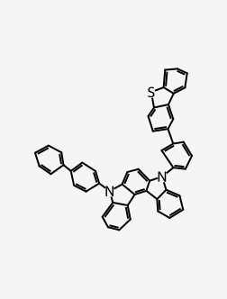 c1ccc(-c2ccc(-n3c4ccccc4c4c5c6ccccc6n(-c6cccc(-c7ccc8sc9ccccc9c8c7)c6)c5ccc43)cc2)cc1